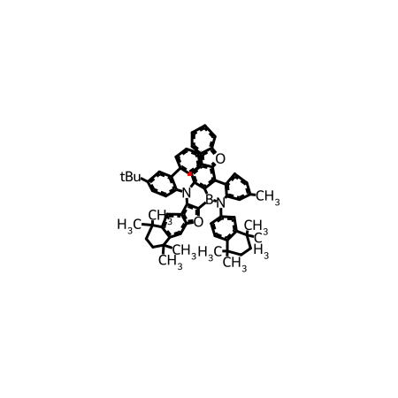 Cc1ccc2c(c1)N(c1ccc3c(c1)C(C)(C)CCC3(C)C)B1c3oc4cc5c(cc4c3N(c3ccc(C(C)(C)C)cc3-c3ccccc3)c3cc4c(oc6ccccc64)c-2c31)C(C)(C)CCC5(C)C